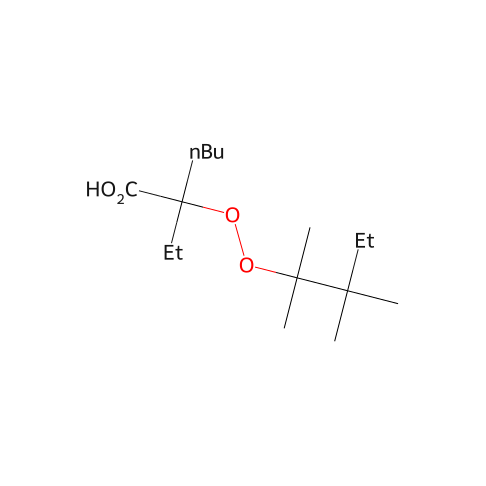 CCCCC(CC)(OOC(C)(C)C(C)(C)CC)C(=O)O